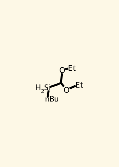 CCCC[SiH2]C(OCC)OCC